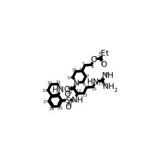 CCC(=O)OCCC1CCN(C(=O)C(CCCNC(=N)N)NS(=O)(=O)c2cccc3c2NCCC3)CC1